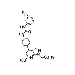 CCOC(=O)Cn1ncc2c(-c3ccc(NC(=O)Nc4cccc(C(F)(F)F)c4)cc3)cc(C(C)(C)C)nc21